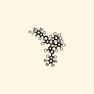 Bc1c(Br)c(Br)c2c(c1I)C(=O)C(c1ccc3c(N4C(=O)c5c(Cl)c(Cl)c(Cl)c(Cl)c5C4=O)c(Cc4cc(Cl)c5nc(C6C(=O)c7c(Br)c(Br)c(Br)c(Br)c7C6=O)ccc5c4N4C(=O)c5c(Cl)c(Cl)c(Cl)c(Cl)c5C4=O)cc(Cl)c3n1)C2=O